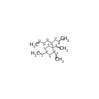 C=CC1CCC(C=C)C(C=C)C1.C=CCCCCC=C